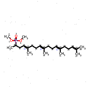 COP(=O)(OC)C(C)C/C=C(\C)CC/C=C(\C)CC/C=C(\C)CCC=C(C)C